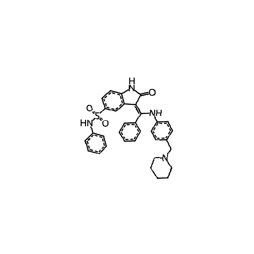 O=C1Nc2ccc(S(=O)(=O)Nc3ccccc3)cc2/C1=C(/Nc1ccc(CN2CCCCC2)cc1)c1ccccc1